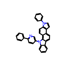 c1ccc(-c2ccc(-n3c4ccccc4c4ccc5c6ccn(-c7ccccc7)c6ccc5c43)cn2)cc1